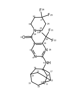 O=C(c1cnc(NC23CCC4CC(CC(C4)C2)C3)nc1C(F)(F)F)N1CCC(F)(F)CC1